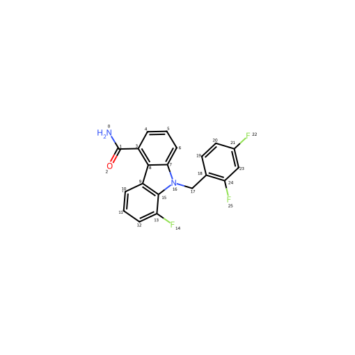 NC(=O)c1cccc2c1c1[c]ccc(F)c1n2Cc1ccc(F)cc1F